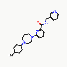 CC(C)(C)C1CCC(N2CCCN(c3cccc(C(=O)NCc4cccnc4)n3)CC2)CC1